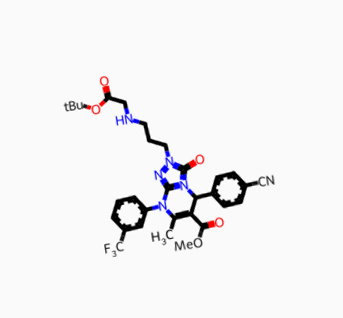 COC(=O)C1=C(C)N(c2cccc(C(F)(F)F)c2)c2nn(CCCNCC(=O)OC(C)(C)C)c(=O)n2C1c1ccc(C#N)cc1